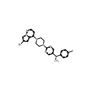 C[C@H](c1ccc(F)cc1)c1cnc(N2CCN(c3ccnn4cc(Br)cc34)CC2)nc1